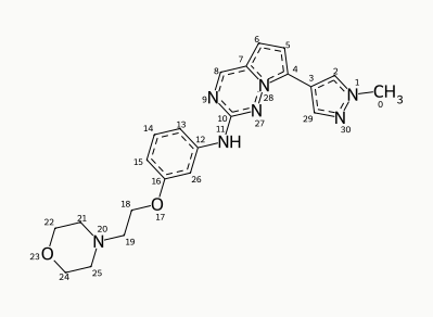 Cn1cc(-c2ccc3cnc(Nc4cccc(OCCN5CCOCC5)c4)nn23)cn1